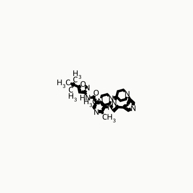 Cc1ncc(C(=O)Nc2cc(C(C)(C)C)on2)cc1-n1cc2n1C1(N3CCN(C)CC3)CCN(CC1)c1cncc-2c1